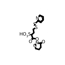 O=C(ON1OCCCC1=O)C(CCSSc1ccccn1)S(=O)(=O)O